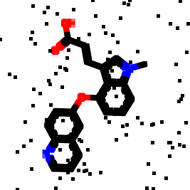 Cn1cc(/C=C/C(=O)O)c2c(Oc3ccc4ncccc4c3)cccc21